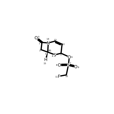 O=C1C[C@H]2SC(OS(=O)(=O)CF)C=CN12